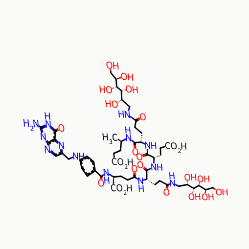 C[C@H](CCC(=O)O)NC(=O)[C@H](CCC(=O)NC[C@H](O)[C@@H](O)[C@H](O)[C@H](O)CO)NC(=O)[C@H](CCC(=O)O)NC(=O)[C@H](CCC(=O)NC[C@H](O)[C@@H](O)[C@H](O)[C@H](O)CO)NC(=O)CC[C@H](NC(=O)c1ccc(NCc2cnc3nc(N)[nH]c(=O)c3n2)cc1)C(=O)O